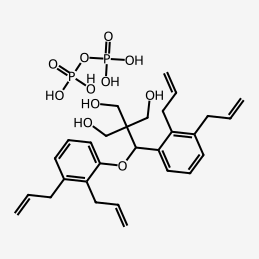 C=CCc1cccc(OC(c2cccc(CC=C)c2CC=C)C(CO)(CO)CO)c1CC=C.O=P(O)(O)OP(=O)(O)O